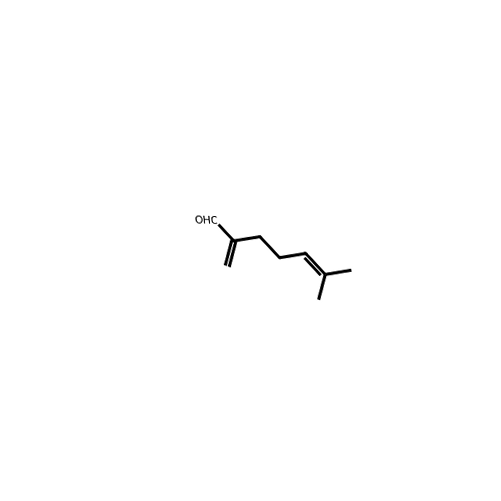 C=C(C=O)CCC=C(C)C